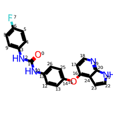 O=C(Nc1ccc(F)cc1)Nc1ccc(Oc2ccnc3[nH]ccc23)cc1